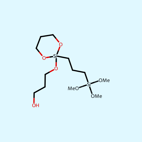 CO[Si](CCC[Si]1(OCCCO)OCCCO1)(OC)OC